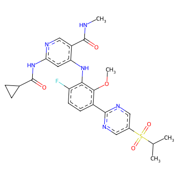 CNC(=O)c1cnc(NC(=O)C2CC2)cc1Nc1c(F)ccc(-c2ncc(S(=O)(=O)C(C)C)cn2)c1OC